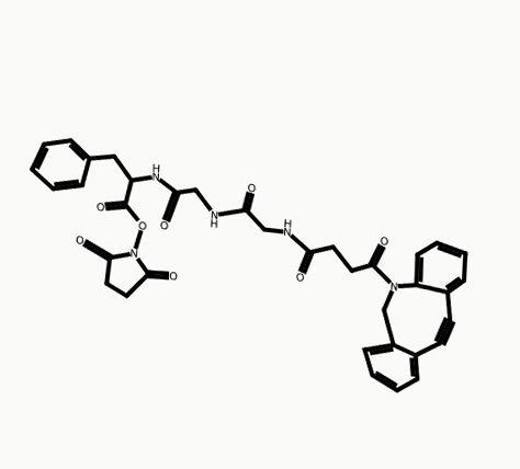 O=C(CCC(=O)N1Cc2ccccc2C#Cc2ccccc21)NCC(=O)NCC(=O)NC(Cc1ccccc1)C(=O)ON1C(=O)CCC1=O